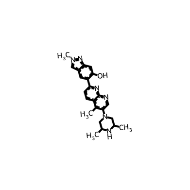 Cc1c(N2CC(C)NC(C)C2)cnc2nc(-c3cc4cn(C)nc4cc3O)ccc12